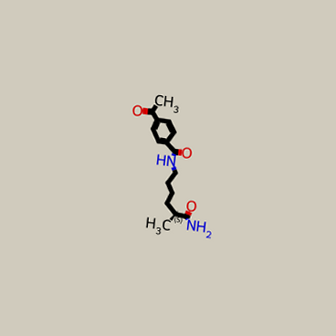 CC(=O)c1ccc(C(=O)NCCCC[C@H](C)C(N)=O)cc1